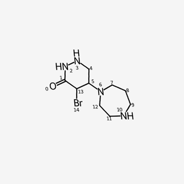 O=C1NNCC(N2CCCNCC2)C1Br